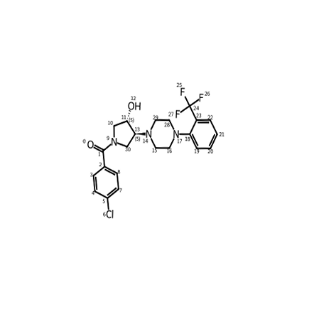 O=C(c1ccc(Cl)cc1)N1C[C@H](O)[C@@H](N2CCN(c3ccccc3C(F)(F)F)CC2)C1